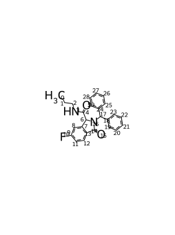 CCCNC(=O)C1c2cc(F)ccc2C(=O)N1C(c1ccccc1)c1ccccc1